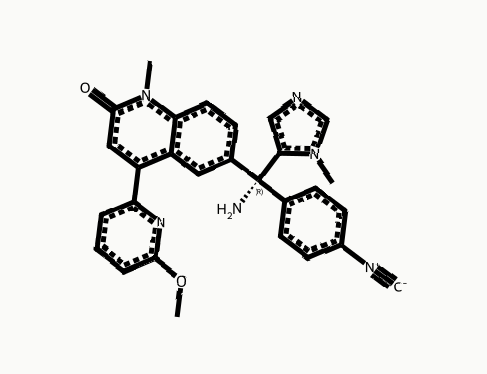 [C-]#[N+]c1ccc([C@@](N)(c2ccc3c(c2)c(-c2cccc(OC)n2)cc(=O)n3C)c2cncn2C)cc1